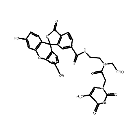 Cc1cn(CC(=O)N(CC=O)CCNC(=O)c2ccc3c(c2)C2(OC3=O)c3ccc(O)cc3Oc3cc(O)ccc32)c(=O)[nH]c1=O